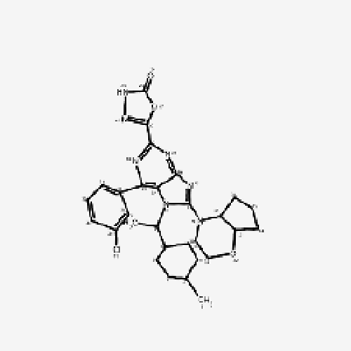 CC1CCC(C(C)n2c(N3CCOC4CCCC43)nc3nc(-c4n[nH]c(=O)o4)nc(-c4cccc(Cl)c4)c32)CC1